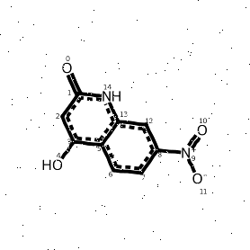 O=c1cc(O)c2ccc([N+](=O)[O-])cc2[nH]1